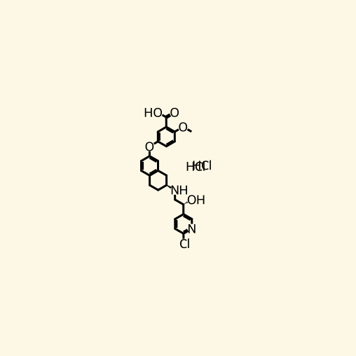 COc1ccc(Oc2ccc3c(c2)C[C@@H](NC[C@H](O)c2ccc(Cl)nc2)CC3)cc1C(=O)O.Cl.Cl